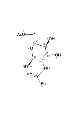 CCC[C@H]1O[C@H](COC(C)=O)[C@@H](O)[C@H](O)[C@@H]1NC(=O)C(C)(C)C